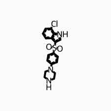 O=S(=O)(c1ccc(N2CCNCC2)cc1)c1c[nH]c2c(Cl)cccc12